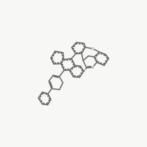 CCC1=Nc2cccc3c2CC1c1c(cccc1-c1c2ccccc2c(C2=CC=C(c4ccccc4)CC2)c2ccccc12)O3